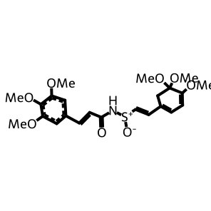 COC1=CC=C(C=C[S+]([O-])NC(=O)C=Cc2cc(OC)c(OC)c(OC)c2)CC1(OC)OC